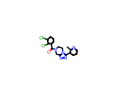 Cc1ncccc1-c1nnc2n1CCN(C(=O)c1cccc(Cl)c1Cl)C2